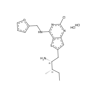 CC[C@H](C)[C@H](N)Cc1cc2nc(Cl)nc(NCc3ccco3)c2s1.Cl.Cl